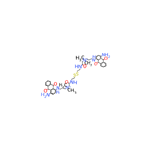 C[N+](C)(CCCNc1ccc(N)c2c1C(=O)c1ccccc1C2=O)CC(=O)NCCSSCCNC(=O)C[N+](C)(C)CCCNc1ccc(N)c2c1C(=O)c1ccccc1C2=O